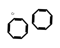 C1=CC=CC=CC=C1.C1=CC=CC=CC=C1.[Cr]